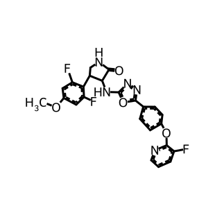 COc1cc(F)c(C2CNC(=O)C2Nc2nnc(-c3ccc(Oc4ncccc4F)cc3)o2)c(F)c1